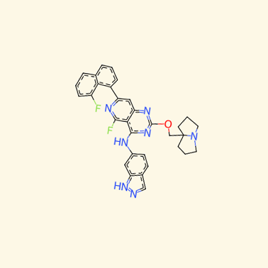 Fc1cccc2cccc(-c3cc4nc(OCC56CCCN5CCC6)nc(Nc5ccc6cn[nH]c6c5)c4c(F)n3)c12